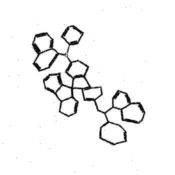 C1=CC2=CC=CC(C(CC3=CC4=C(CC3)C3=C(C=C(N(c5ccccc5)c5cccc6ccccc56)CC3)C43c4ccccc4C4CCC=CC43)C3CC=CCCC3)C2C=C1